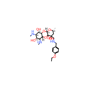 CCOc1ccc(CNC[C@]2(O)C[C@@H](C)O[C@H]3OC4[C@@H](O)[C@H](NC)[C@H](O)[C@H](NC)[C@H]4O[C@]32O)cc1